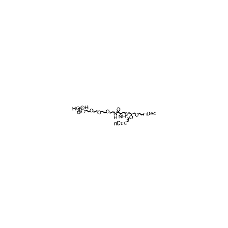 CCCCCCCCCCCCOC[C@H](CSC[C@H](N)C(=O)NCCOCCOCCOCCOP(=O)(O)O)OCCCCCCCCCCCC